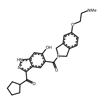 CNCCOc1ccc2c(c1)CN(C(=O)c1cc3c(C(=O)C4CCCC4)n[nH]c3cc1O)C2